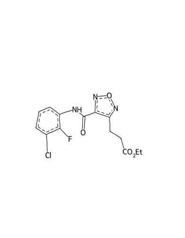 CCOC(=O)CCc1nonc1C(=O)Nc1cccc(Cl)c1F